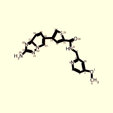 COc1ccnc(CNC(=O)c2cc(-c3ccc4nc(N)nn4c3)cs2)c1